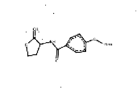 C=C1OCCC1NC(=O)c1ccc(OCCCCCCCCC)cc1